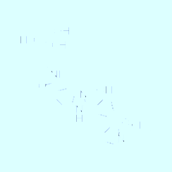 COc1ncccc1-c1ccc(O)c(-c2nc3cc(C(=O)NCCCC(C)(C)CO)ccc3[nH]2)c1